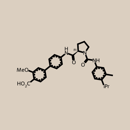 COc1cc(-c2ccc(NC(=O)[C@H]3CCCN3C(=O)Nc3ccc(C(C)C)c(C)c3)cc2)ccc1C(=O)O